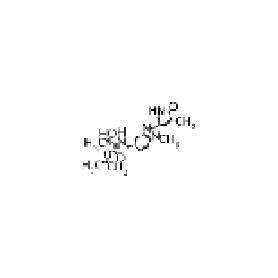 Cc1cc(-c2nc3cc(CN[C@H](C(=O)OC(C)C)[C@@H](C)O)ccc3n2C)c[nH]c1=O